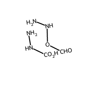 NNC(=O)O.NNOC=O